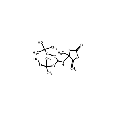 C=C1OC(=O)OC1(C)BC(OOC(C)(C)O)OC(C)(C)OO